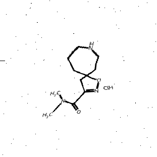 CN(C)C(=O)C1=NOC2(CCCNCC2)C1.Cl